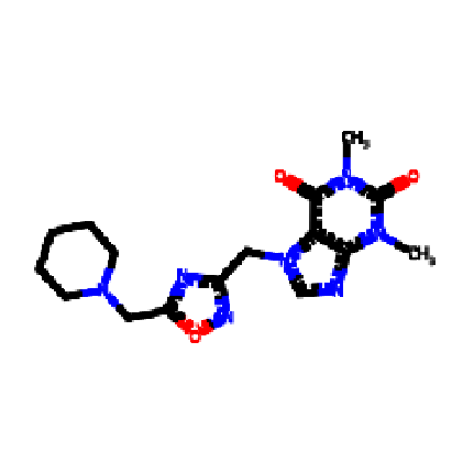 Cn1c(=O)c2c(ncn2Cc2noc(CN3CCCCC3)n2)n(C)c1=O